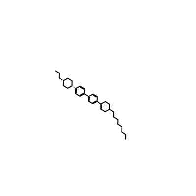 CCCCCCCCC1CC=C(c2ccc(-c3ccc([C@H]4CC[C@H](CCC)CC4)cc3)cc2)CC1